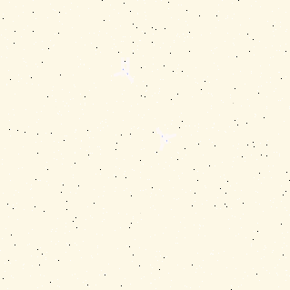 CC(C)(C)c1ccc(-n2c3ccc(C(C)(C)C)cc3c3cc4[nH]c5ccc(C(C)(C)C)cc5c4cc32)cc1